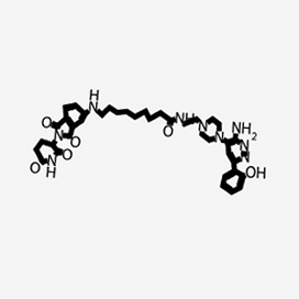 Nc1nnc(-c2ccccc2O)cc1N1CCN(CCNC(=O)CCCCCCCCNc2ccc3c(c2)C(=O)N(C2CCC(=O)NC2=O)C3=O)CC1